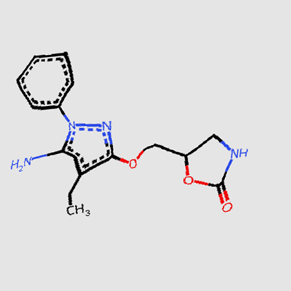 Cc1c(OCC2CNC(=O)O2)nn(-c2ccccc2)c1N